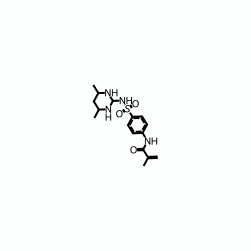 C=C(C)C(=O)Nc1ccc(S(=O)(=O)NC2NC(C)CC(C)N2)cc1